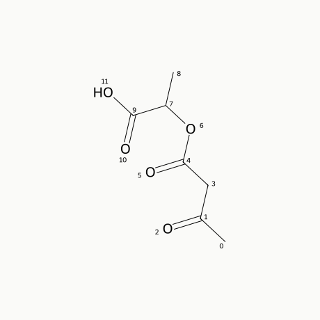 CC(=O)CC(=O)OC(C)C(=O)O